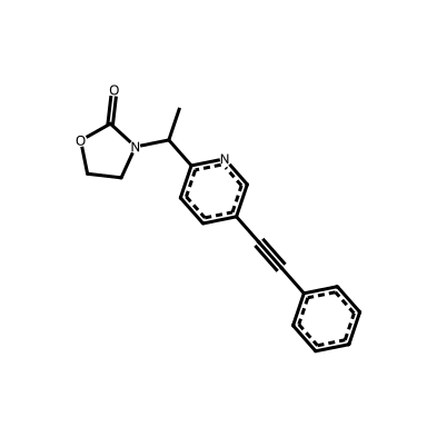 CC(c1ccc(C#Cc2ccccc2)cn1)N1CCOC1=O